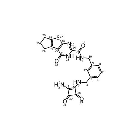 Nc1c(NCc2cccc(CNC(=O)c3nc4sc5c(c4c(=O)[nH]3)CCC5)c2)c(=O)c1=O